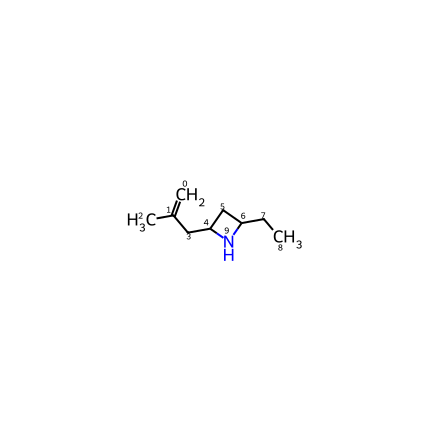 C=C(C)CC1CC(CC)N1